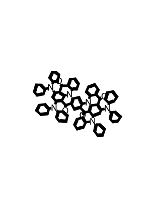 O=c1c2ccccc2n2c3cc4c(cc3c(=O)c3c(N(c5ccccc5)c5ccccc5)cc(N(c5ccccc5)c5ccccc5)c1c32)c(=O)c1c(N(c2ccccc2)c2ccccc2)cc(N(c2ccccc2)c2ccccc2)c2c(=O)c3ccccc3n4c21